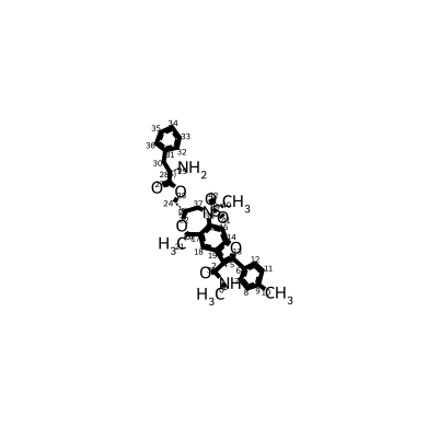 CNC(=O)c1c(-c2ccc(C)cc2)oc2cc3c(cc12)[C@H](C)O[C@H](COC(=O)[C@@H](N)Cc1ccccc1)CN3S(C)(=O)=O